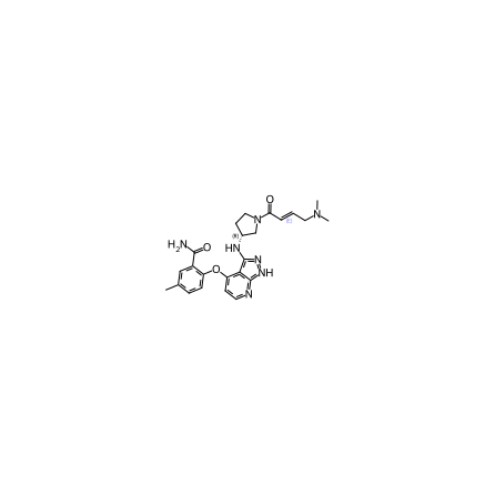 Cc1ccc(Oc2ccnc3[nH]nc(N[C@@H]4CCN(C(=O)/C=C/CN(C)C)C4)c23)c(C(N)=O)c1